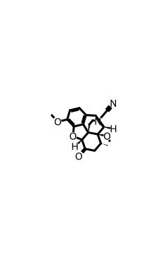 COc1ccc2c3c1O[C@H]1C(=O)C[C@@H](C)[C@@]4(OC)[C@@H](C2)N(C#N)CC[C@]314